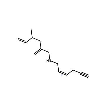 C#CC/C=C\CNCC(=C)CC(C)C=C